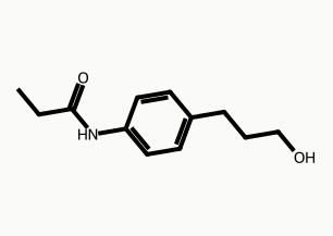 CCC(=O)Nc1ccc(CCCO)cc1